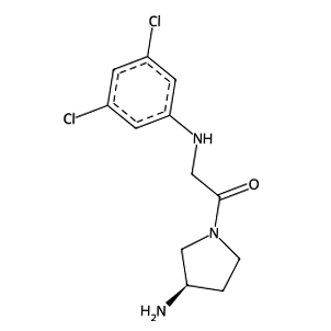 N[C@@H]1CCN(C(=O)CNc2cc(Cl)cc(Cl)c2)C1